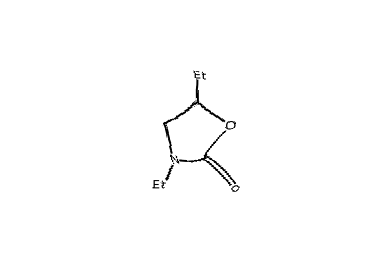 CCC1CN(CC)C(=O)O1